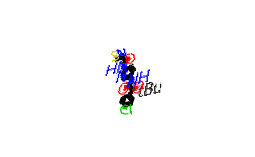 CC(C)(C)OC(C(=O)Nc1ccc(NC(=O)c2cscn2)nc1)c1ccc(Cl)cc1